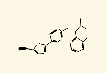 CC(C)[C@@H](Nc1ncc(-c2ncc(C#N)s2)cn1)c1ncccc1Cl